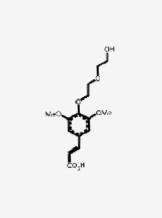 COc1cc(/C=C/C(=O)O)cc(OC)c1OCCOCCO